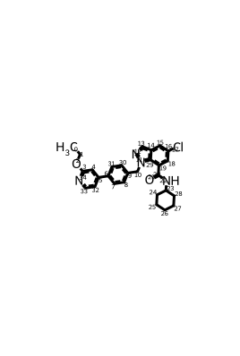 CCOc1cc(-c2ccc(Cn3ncc4cc(Cl)cc(C(=O)NC5CCCCC5)c43)cc2)ccn1